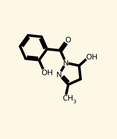 CC1=NN(C(=O)c2ccccc2O)C(O)C1